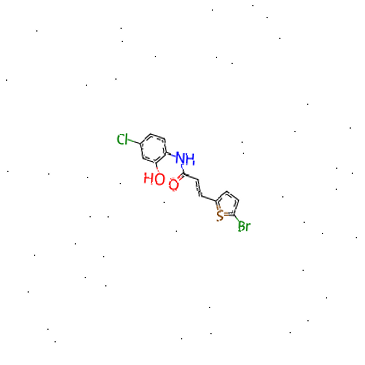 O=C(/C=C/c1ccc(Br)s1)Nc1ccc(Cl)cc1O